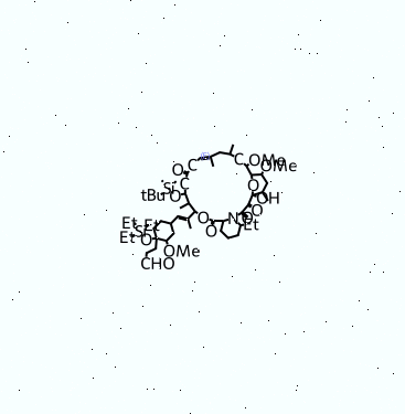 CCC1CCCC2C(=O)OC(C(C)=CC3CCC(CCC=O)(O[Si](CC)(CC)CC)C(OC)C3)C(C)C(O[Si](C)(C)C(C)(C)C)CC(=O)C/C=C(\C)CC(C)CC(OC)C3OC(O)(C(=O)C(=O)N12)C(C)CC3OC